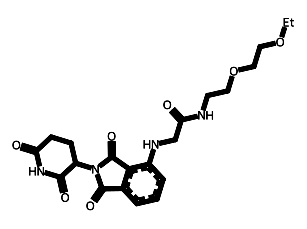 CCOCCOCCNC(=O)CNc1cccc2c1C(=O)N(C1CCC(=O)NC1=O)C2=O